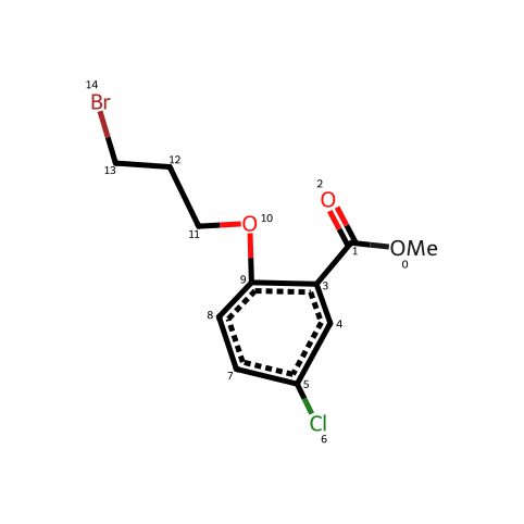 COC(=O)c1cc(Cl)ccc1OCCCBr